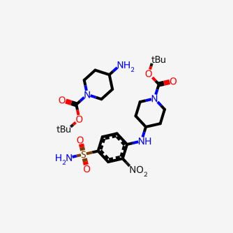 CC(C)(C)OC(=O)N1CCC(N)CC1.CC(C)(C)OC(=O)N1CCC(Nc2ccc(S(N)(=O)=O)cc2[N+](=O)[O-])CC1